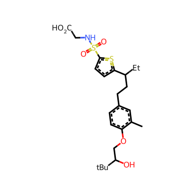 CCC(CCc1ccc(OCC(O)C(C)(C)C)c(C)c1)c1ccc(S(=O)(=O)NCC(=O)O)s1